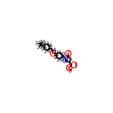 COC(=O)C1CC(=O)N(c2ccc(OCc3ccc(C(C)(C)C)cc3)cc2)C1